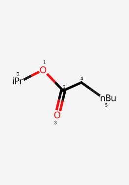 [CH2]C(C)OC(=O)CCCCC